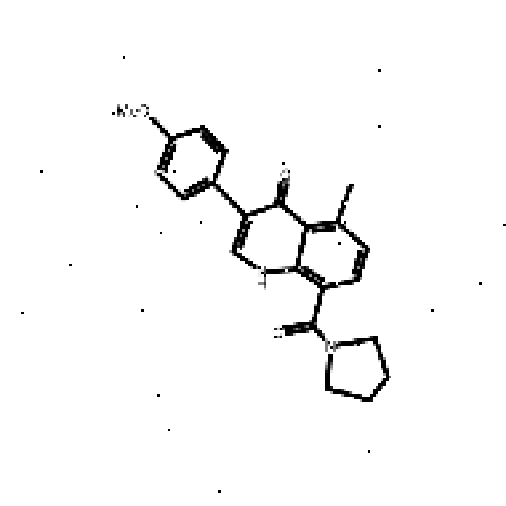 COc1ccc(-c2c[nH]c3c(C(=O)N4CCCC4)ccc(C)c3c2=O)cc1